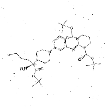 CC(C)(C)OC(=O)N1CCCN(C(=O)OC(C)(C)C)C1=Nc1cccc(N2CCN([C@@](N)(CCC=O)C(=O)OC(C)(C)C)CC2)c1